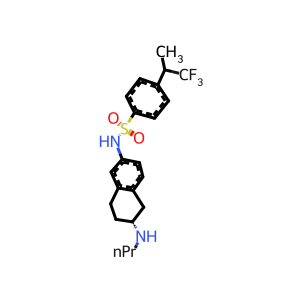 CCCN[C@@H]1CCc2cc(NS(=O)(=O)c3ccc(C(C)C(F)(F)F)cc3)ccc2C1